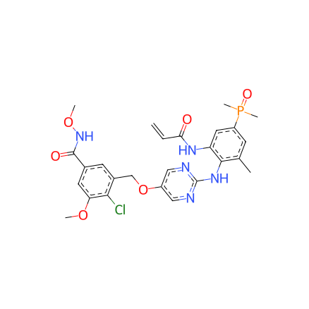 C=CC(=O)Nc1cc(P(C)(C)=O)cc(C)c1Nc1ncc(OCc2cc(C(=O)NOC)cc(OC)c2Cl)cn1